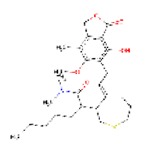 CCCCCC(C(=O)N(C)C)C1CSCCCC1=CCc1c(O)c2c(c(C)c1OC)COC2=O